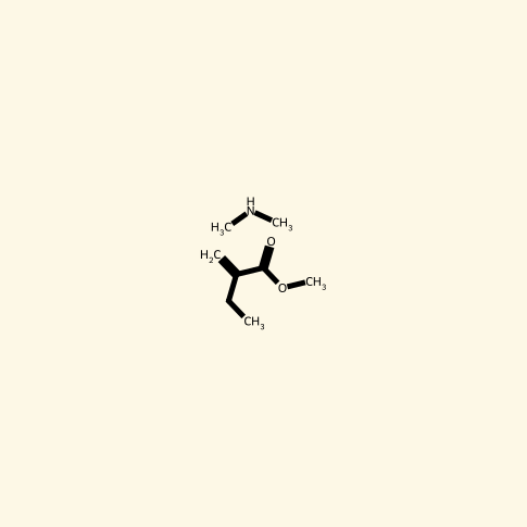 C=C(CC)C(=O)OC.CNC